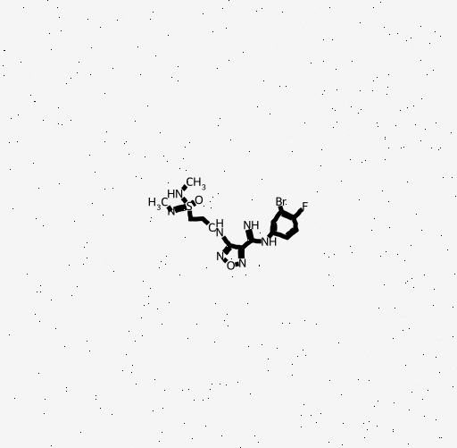 CN=S(=O)(CCCNc1nonc1C(=N)Nc1ccc(F)c(Br)c1)NC